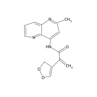 C=C(C(=O)Nc1cc(C)nc2cccnc12)C1=COOC1